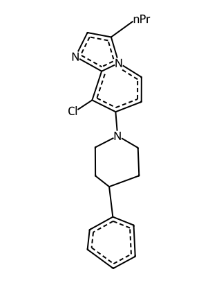 CCCc1cnc2c(Cl)c(N3CCC(c4ccccc4)CC3)ccn12